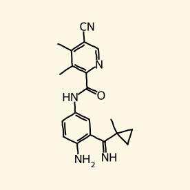 Cc1c(C#N)cnc(C(=O)Nc2ccc(N)c(C(=N)C3(C)CC3)c2)c1C